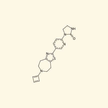 O=C1NCCN1c1ccc(-c2nc3c(s2)CCN(C2=CC=C2)CC3)cn1